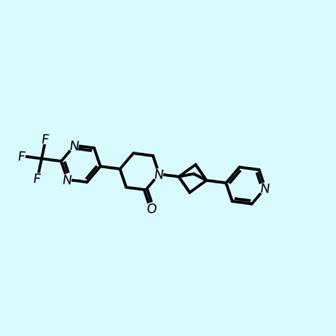 O=C1CC(c2cnc(C(F)(F)F)nc2)CCN1C12CC(c3ccncc3)(C1)C2